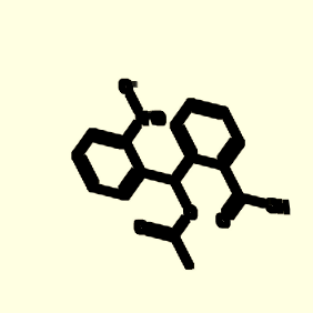 CC(=O)OC(c1ccccc1C(=O)O)c1ccccc1[N+](=O)[O-]